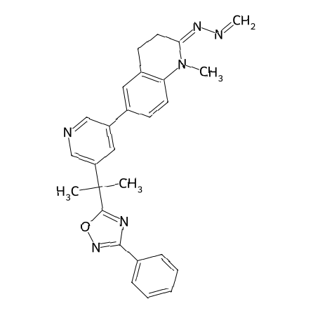 C=N/N=C1/CCc2cc(-c3cncc(C(C)(C)c4nc(-c5ccccc5)no4)c3)ccc2N1C